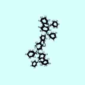 c1ccc(N(c2ccc3c(c2)oc2cc(N(c4ccccc4)c4ccc5c6ccccc6n(-c6ccccc6)c5c4)ncc23)c2ccc3c4ccccc4n(-c4ccccc4)c3c2)cc1